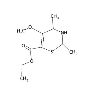 CCOC(=O)C1=C(OC)C(C)NC(C)S1